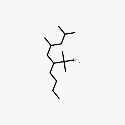 CCCCC(CC(C)CC(C)C)C(C)(C)N